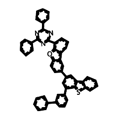 c1ccc(-c2cccc(-c3cc(-c4ccc5oc6c(-c7nc(-c8ccccc8)nc(-c8ccccc8)n7)cccc6c5c4)cc4c3sc3ccccc34)c2)cc1